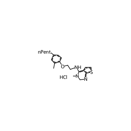 CCCCCc1ccc(OCCNC2=c3ccsc3=NCN2C)c(C)c1.Cl